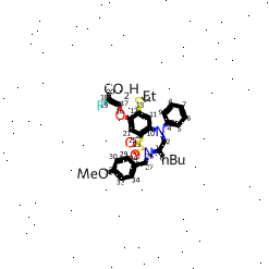 CCCCC1CN(c2ccccc2)c2cc(SCC)c(O/C=C(\F)C(=O)O)cc2S(=O)(=O)N1Cc1ccc(OC)cc1